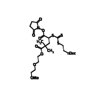 CCCCCCCCCCCCSC(=S)SC(CC(C)(C)C(=O)OCCOCCOC)C(=O)ON1C(=O)CCC1=O